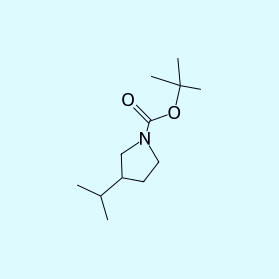 CC(C)C1CCN(C(=O)OC(C)(C)C)C1